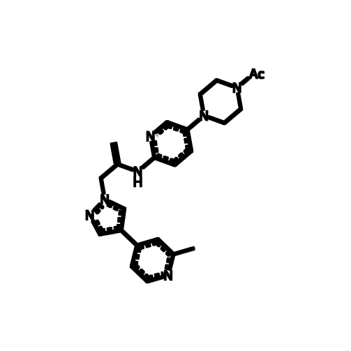 C=C(Cn1cc(-c2ccnc(C)c2)cn1)Nc1ccc(N2CCN(C(C)=O)CC2)cn1